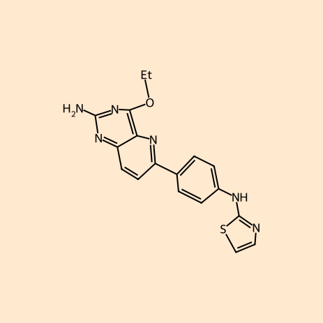 CCOc1nc(N)nc2ccc(-c3ccc(Nc4nccs4)cc3)nc12